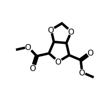 COC(=O)C1OC(C(=O)OC)C2OCOC12